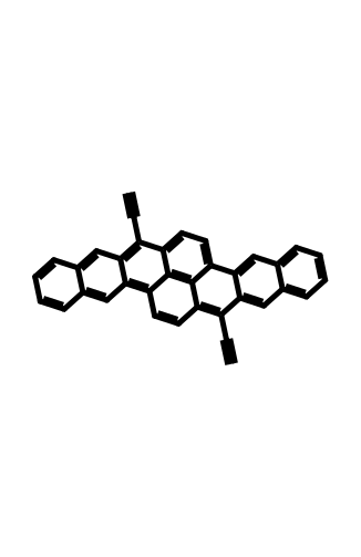 C#Cc1c2cc3ccccc3cc2c2ccc3c(C#C)c4cc5ccccc5cc4c4ccc1c2c34